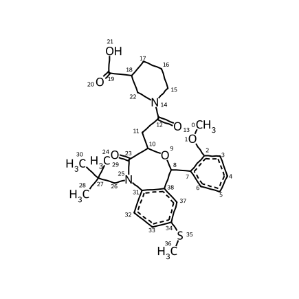 COc1ccccc1C1OC(CC(=O)N2CCCC(C(=O)O)C2)C(=O)N(CC(C)(C)C)c2ccc(SC)cc21